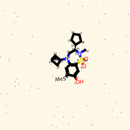 CSc1cc2c(cc1O)S(=O)(=O)N(C)[C@H](C1CCCC1)CN2C12CC(C1)C2